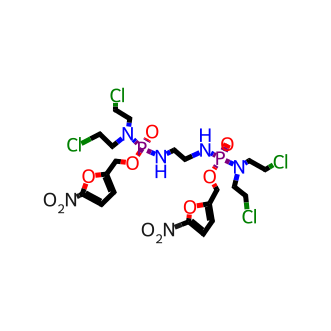 O=[N+]([O-])c1ccc(COP(=O)(NCCNP(=O)(OCc2ccc([N+](=O)[O-])o2)N(CCCl)CCCl)N(CCCl)CCCl)o1